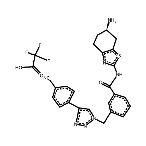 N#Cc1ccc(-c2cn(Cc3cccc(C(=O)Nc4nc5c(s4)C[C@H](N)CC5)c3)nn2)cc1.O=C(O)C(F)(F)F